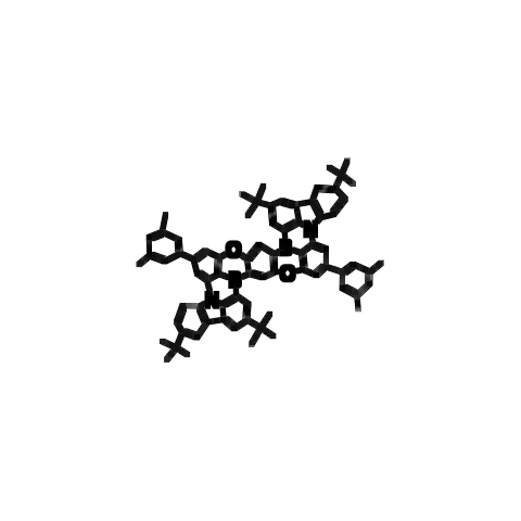 Cc1cc(C)cc(-c2cc3c4c(c2)-n2c5ccc(C(C)(C)C)cc5c5cc(C(C)(C)C)cc(c52)B4c2cc4c(cc2O3)B2c3c(cc(-c5cc(C)cc(C)c5)cc3-n3c5ccc(C(C)(C)C)cc5c5cc(C(C)(C)C)cc2c53)O4)c1